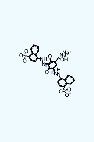 O=c1c(CO)c/c(=N\Nc2ccc(S(=O)(=O)[O-])c3ccccc23)c(=O)/c1=N/Nc1ccc(S(=O)(=O)[O-])c2ccccc12.[Na+].[Na+]